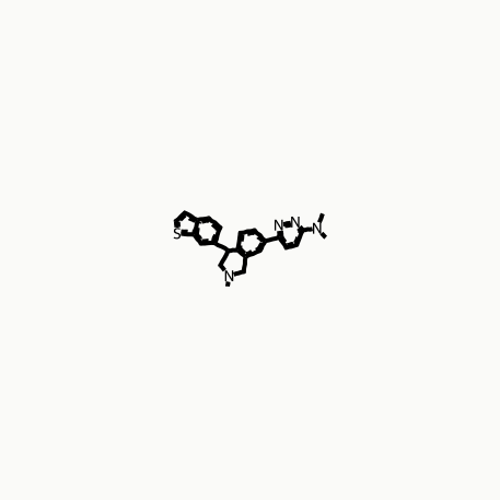 CN1Cc2cc(-c3ccc(N(C)C)nn3)ccc2C(c2ccc3ccsc3c2)C1